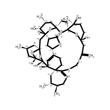 C=C1CCCC2=NC[C@@H](C)[C@H](C)C[C@]23CCC([C@@H]2CCC(=O)O2)=C[C@H]3[C@H]2O[C@]3(C[C@H](C)C[C@@H]2O3)C[C@H]2O[C@@]3(CC[C@]4(O[C@H](CC[C@]4(C)O)C1)O3)C[C@@H](C)[C@H]2O